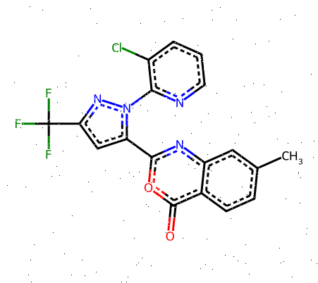 Cc1ccc2c(=O)oc(-c3cc(C(F)(F)F)nn3-c3ncccc3Cl)nc2c1